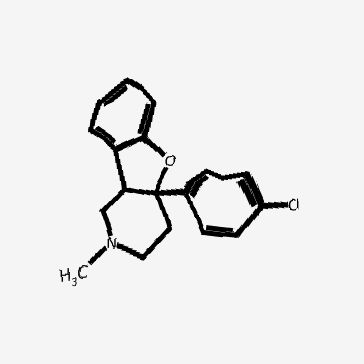 CN1CCC2(c3ccc(Cl)cc3)Oc3ccccc3C2C1